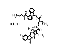 CCN(CCNC(=O)c1c(C)[nH]c(C=C2C(=O)Nc3ccc(F)cc32)c1C)C(=O)OCC1c2ccccc2-c2c(C(=O)NCCN)cccc21.Cl.Cl